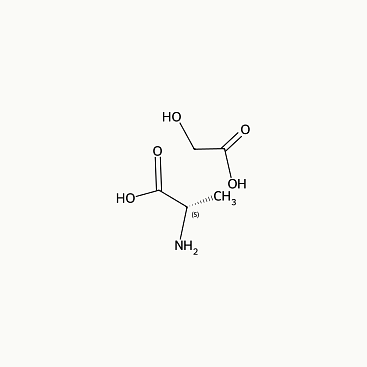 C[C@H](N)C(=O)O.O=C(O)CO